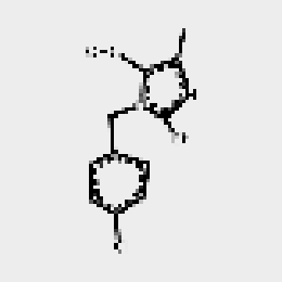 CCc1nc(C)c(C=O)n1Cc1ccc(Cl)cc1